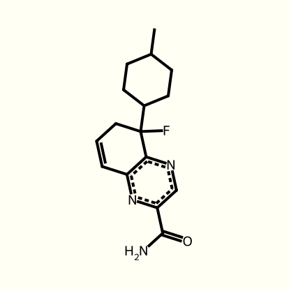 CC1CCC(C2(F)CC=Cc3nc(C(N)=O)cnc32)CC1